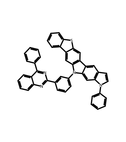 c1ccc(-c2nc(-c3cccc(-n4c5cc6c(cc5c5cc7ccn(-c8ccccc8)c7cc54)sc4ccccc46)c3)nc3ccccc23)cc1